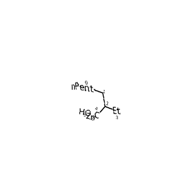 CCCCCCC(CC)C(=O)O.[Zn]